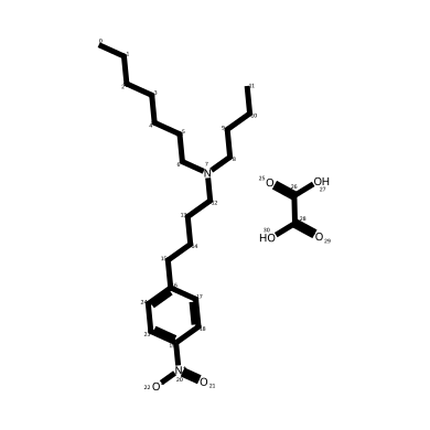 CCCCCCCN(CCCC)CCCCc1ccc([N+](=O)[O-])cc1.O=C(O)C(=O)O